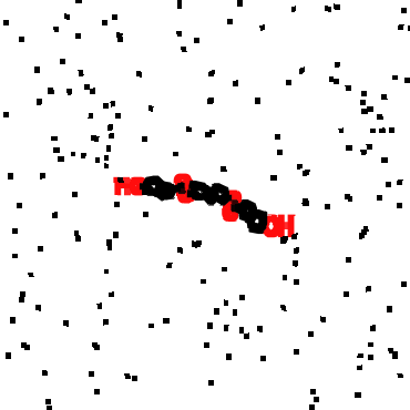 O=C(OC1=CC2=Cc3cc(OC(=O)c4ccc5cc(O)ccc5c4)ccc3C2C=C1)c1ccc2cc(O)ccc2c1